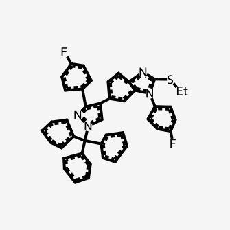 CCSc1nc2ccc(-c3cn(C(c4ccccc4)(c4ccccc4)c4ccccc4)nc3-c3ccc(F)cc3)cc2n1-c1ccc(F)cc1